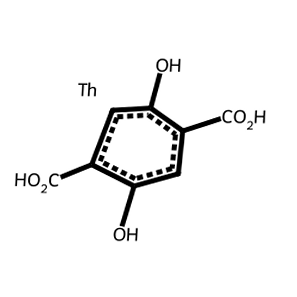 O=C(O)c1cc(O)c(C(=O)O)cc1O.[Th]